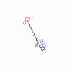 Cc1ccc(CNC(=O)NCCCCCCCCCCCCCCC(=O)O)cc1C